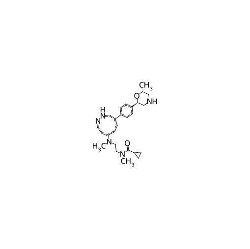 C[C@@H]1CNC[C@@H](c2ccc(-c3ccc(N(C)CCN(C)C(=O)C4CC4)ccn[nH]c3)cc2)O1